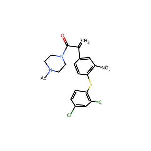 C=C(C(=O)N1CCN(C(C)=O)CC1)c1ccc(Sc2ccc(Cl)cc2Cl)c([N+](=O)[O-])c1